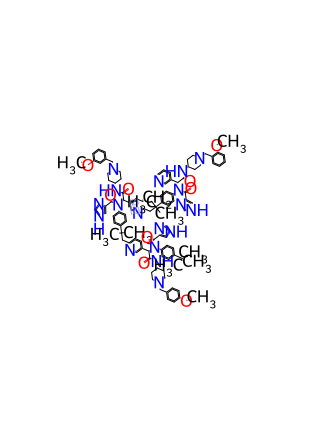 C=C/C=C(\C=N/CCC(C)(C)c1ccc(N(C(=O)c2c[nH]cn2)C(C(=O)NC2CCN(Cc3ccccc3OC)CC2)c2cccnc2)cc1)C(C(=O)NC1CCN(Cc2cccc(OC)c2)CC1)N(C(=O)c1c[nH]cn1)c1ccc(C(C)(C)Cc2ccc(C(C(=O)NC3CCN(Cc4ccc(OC)cc4)CC3)N(C(=O)c3c[nH]cn3)c3ccc(C(C)(C)C)cc3)cn2)cc1